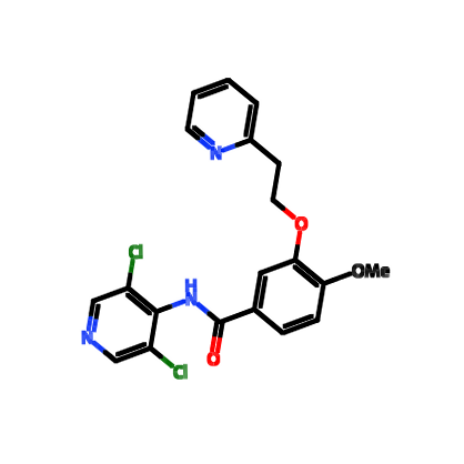 COc1ccc(C(=O)Nc2c(Cl)cncc2Cl)cc1OCCc1ccccn1